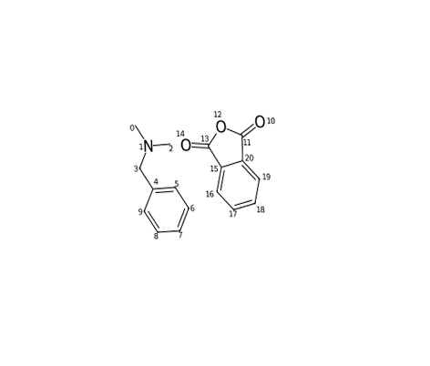 CN(C)Cc1ccccc1.O=C1OC(=O)c2ccccc21